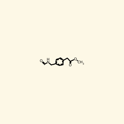 COC(=O)Cc1ccc(CN[C]=O)cc1